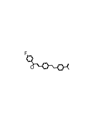 C=C(C)c1ccc(CCc2ccc(C=CC(=O)c3ccc(F)cc3)cc2)cc1